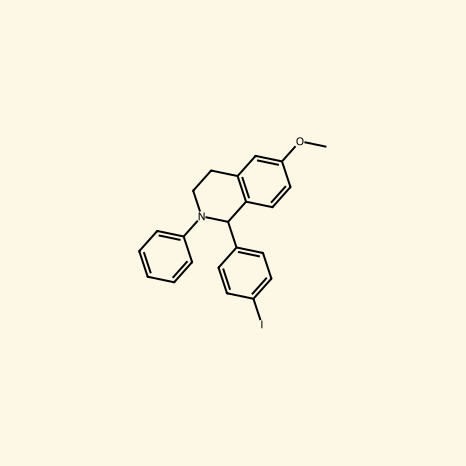 COc1ccc2c(c1)CCN(c1ccccc1)C2c1ccc(I)cc1